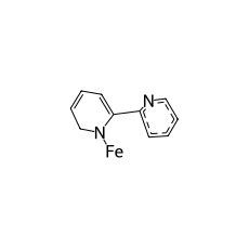 [Fe][N]1CC=CC=C1c1ccccn1